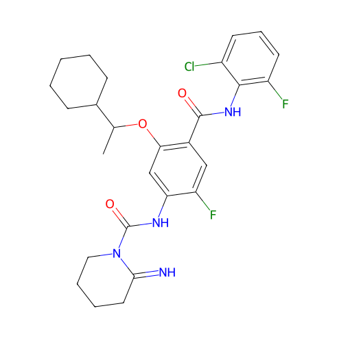 CC(Oc1cc(NC(=O)N2CCCCC2=N)c(F)cc1C(=O)Nc1c(F)cccc1Cl)C1CCCCC1